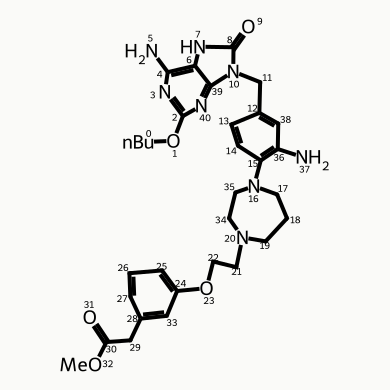 CCCCOc1nc(N)c2[nH]c(=O)n(Cc3ccc(N4CCCN(CCOc5cccc(CC(=O)OC)c5)CC4)c(N)c3)c2n1